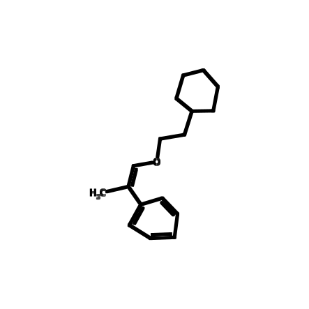 CC(=COCCC1CCCCC1)c1ccccc1